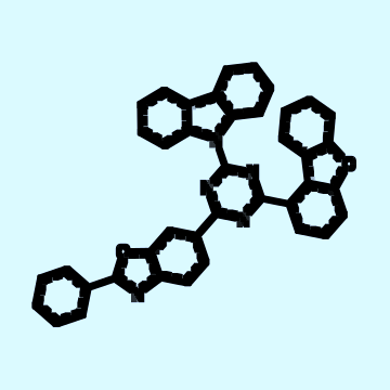 c1ccc(-c2nc3ccc(-c4nc(-c5cccc6oc7ccccc7c56)nc(-n5c6ccccc6c6ccccc65)n4)cc3o2)cc1